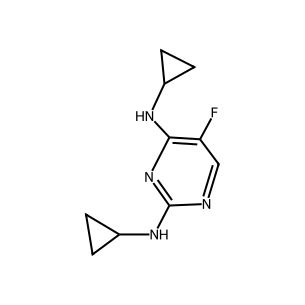 Fc1cnc(NC2CC2)nc1NC1CC1